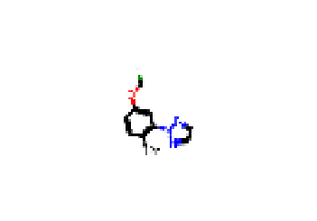 CC(C)c1ccc(OCF)cc1-n1nccn1